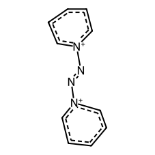 c1cc[n+](N=N[n+]2ccccc2)cc1